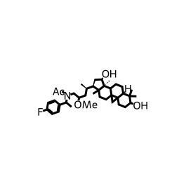 COC(C[C@@H](C)[C@H]1C[C@H](O)[C@@]2(C)C3CC[C@H]4C(C)(C)C(O)CCC45CC35CCC12C)CN(C(C)=O)C(C)c1ccc(F)cc1